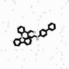 CC/C=C(\C=C/CNc1ccc(-c2ccccc2)cc1)c1ccccc1-n1c2ccccc2c2ccccc21